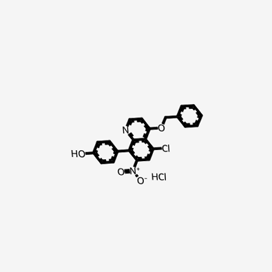 Cl.O=[N+]([O-])c1cc(Cl)c2c(OCc3ccccc3)ccnc2c1-c1ccc(O)cc1